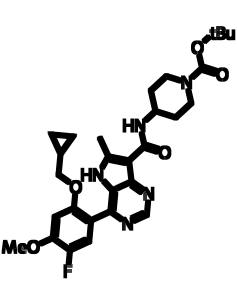 COc1cc(OCC2CC2)c(-c2ncnc3c(C(=O)NC4CCN(C(=O)OC(C)(C)C)CC4)c(C)[nH]c23)cc1F